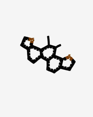 Cc1c(C)c2c(ccc3ccsc32)c2ccc3ccsc3c12